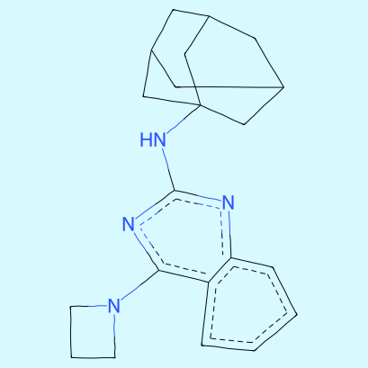 c1ccc2c(N3CCC3)nc(NC34CC5CC(CC(C5)C3)C4)nc2c1